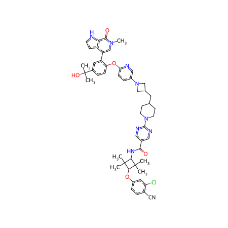 Cn1cc(-c2cc(C(C)(C)O)ccc2Oc2ccc(N3CC(CC4CCN(c5ncc(C(=O)NC6C(C)(C)C(Oc7ccc(C#N)c(Cl)c7)C6(C)C)cn5)CC4)C3)cn2)c2cc[nH]c2c1=O